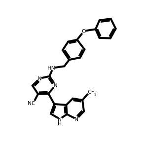 N#Cc1cnc(NCc2ccc(Oc3ccccc3)cc2)nc1-c1c[nH]c2ncc(C(F)(F)F)cc12